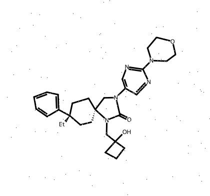 CC[C@]1(c2ccccc2)CC[C@]2(CC1)CN(c1cnc(N3CCOCC3)nc1)C(=O)N2CC1(O)CCC1